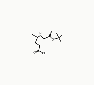 CC(CCC(=O)O)NCC(=O)OC(C)(C)C